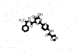 CC(NC(=O)c1nc(-c2ccc(NC(=O)c3cnco3)cn2)nc(O)c1O)C1CCCCC1